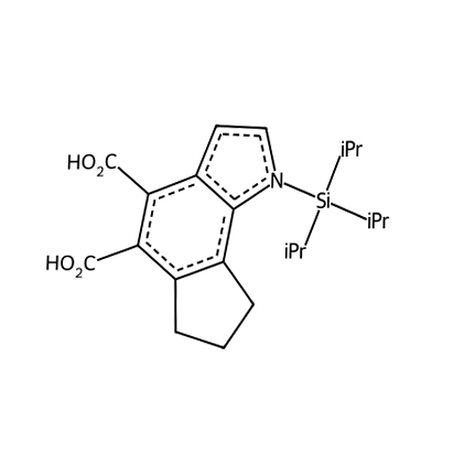 CC(C)[Si](C(C)C)(C(C)C)n1ccc2c(C(=O)O)c(C(=O)O)c3c(c21)CCC3